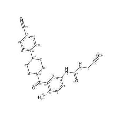 C#CCNC(=O)Nc1ccc(C)c(C(=O)N2CCC(c3ccc(C#N)cc3)CC2)c1